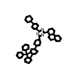 c1ccc(-c2ccc(-c3nc(-c4ccc(-c5ccc6c(c5)C(c5ccccc5)(c5ccccc5)c5ccccc5-6)cc4)nc(-c4cccc5c4ccc4ccccc45)n3)cc2)cc1